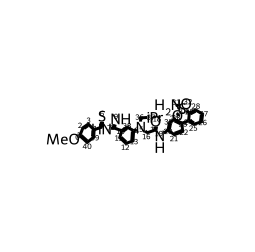 COc1ccc(C(=S)NC(=N)c2cccc(N(CC(=O)Nc3ccc(-c4ccccc4S(N)(=O)=O)cc3)CC(C)C)c2)cc1